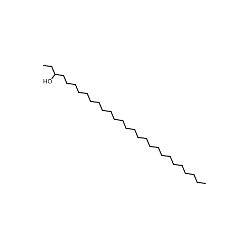 CCCCCCCCCCCCCCCCCCCCCCCCCC(O)CC